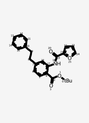 CC(C)(C)OC(=O)c1ccc(CCc2ccccc2)cc1NC(=O)c1ccco1